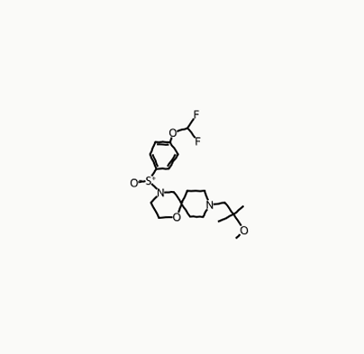 COC(C)(C)CN1CCC2(CC1)CN([S+]([O-])c1ccc(OC(F)F)cc1)CCO2